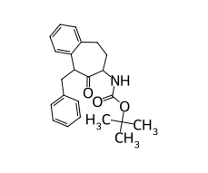 CC(C)(C)OC(=O)NC1CCc2ccccc2C(Cc2ccccc2)C1=O